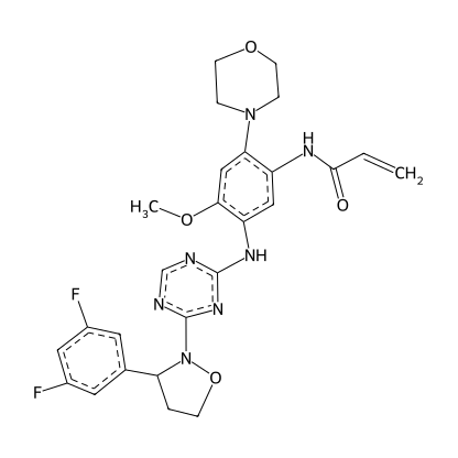 C=CC(=O)Nc1cc(Nc2ncnc(N3OCCC3c3cc(F)cc(F)c3)n2)c(OC)cc1N1CCOCC1